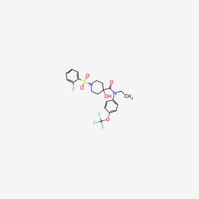 CCN(C(=O)C1(O)CCN(S(=O)(=O)c2ccccc2F)CC1)c1ccc(OC(F)(F)F)cc1